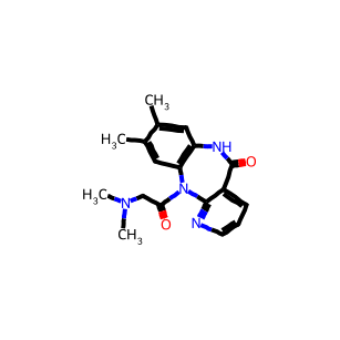 Cc1cc2c(cc1C)N(C(=O)CN(C)C)c1ncccc1C(=O)N2